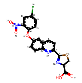 O=C(O)C1CSC(c2ccc3cc(Oc4ccc(F)cc4[N+](=O)[O-])ccc3n2)=N1